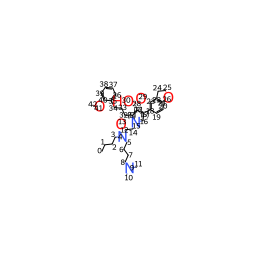 CCCCN(CCCCN(C)C)C(=O)CN1C[C@H](c2ccc3c(c2)CCO3)[C@@H](C(=O)O)[C@@H]1CCCc1ccccc1OC